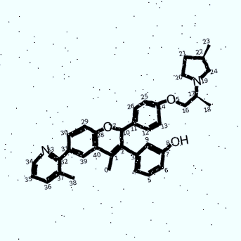 CC1=C(c2cccc(O)c2)C(c2ccc(OC[C@H](C)N3CC[C@@H](C)C3)cc2)Oc2ccc(-c3ncccc3C)cc21